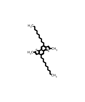 CCCCCCCCCCc1cc2c(cc(CCCCCCCCCC)c3cc(C)sc32)c2sc(C)cc12